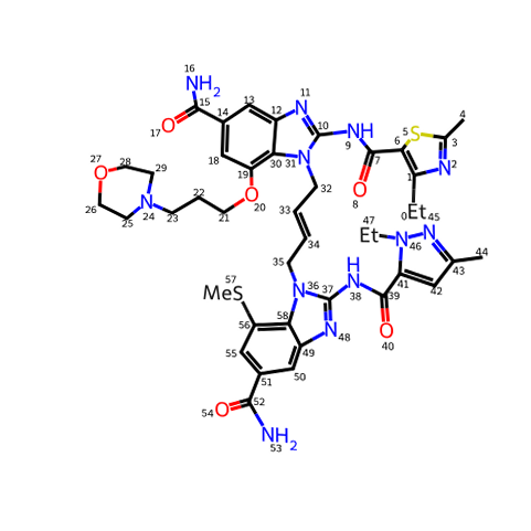 CCc1nc(C)sc1C(=O)Nc1nc2cc(C(N)=O)cc(OCCCN3CCOCC3)c2n1C/C=C/Cn1c(NC(=O)c2cc(C)nn2CC)nc2cc(C(N)=O)cc(SC)c21